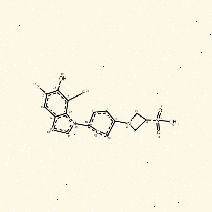 CS(=O)(=O)C1CN(c2ccc(-n3cnc4cc(F)c(O)c(F)c43)cc2)C1